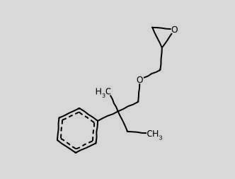 CCC(C)(COCC1CO1)c1ccccc1